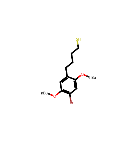 CCCCOc1cc(CCCCS)c(OCCCC)cc1Br